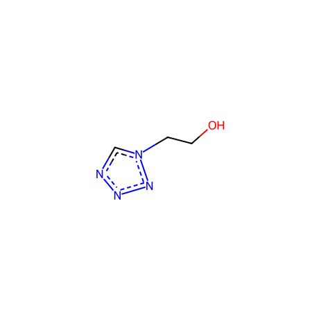 OCCn1cnnn1